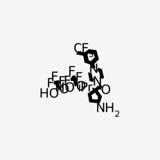 CC(C)[C@]1(C(=O)N2CCN(c3cccc(CC(F)(F)F)c3)CC2)CC[C@@H](N)C1.O=C(O)C(F)(F)F.O=C(O)C(F)(F)F